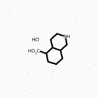 Cl.O=C(O)C1CCCC2CNCCC21